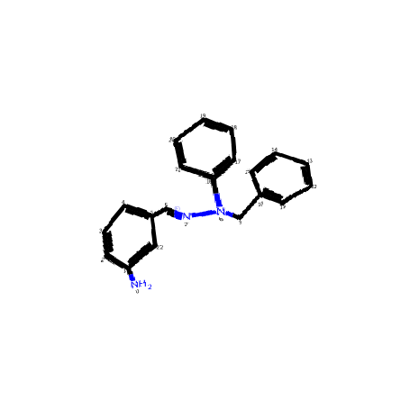 Nc1cccc(/C=N/N(Cc2ccccc2)c2ccccc2)c1